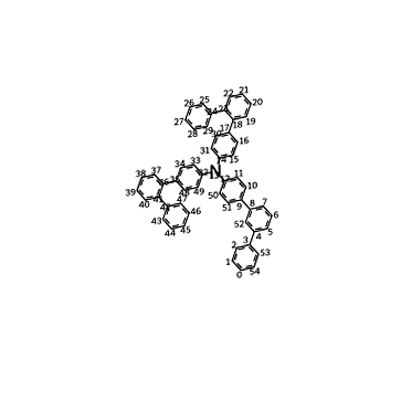 c1ccc(-c2cccc(-c3ccc(N(c4ccc(-c5ccccc5-c5ccccc5)cc4)c4ccc(-c5ccccc5-c5ccccc5)cc4)cc3)c2)cc1